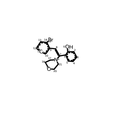 Oc1ccccc1C(=Cc1ccccc1Br)N1CCOCC1